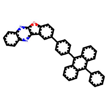 c1ccc(-c2c3ccccc3c(-c3ccc(-c4ccc5oc6nc7ccccc7nc6c5c4)cc3)c3ccccc23)cc1